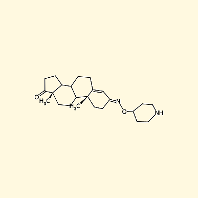 C[C@]12CC/C(=N\OC3CCNCC3)C=C1CCC1C2CC[C@]2(C)C(=O)CCC12